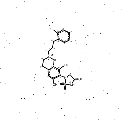 O=C1CN(c2c(O)cc3c(c2F)CN(CCCc2ccccc2F)CC3)S(=O)(=O)N1